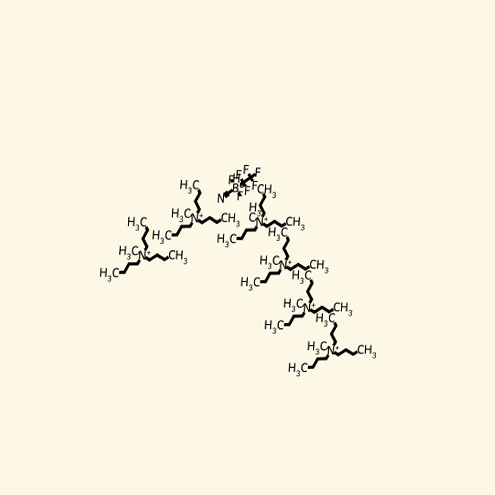 CCCC[N+](C)(CCCC)CCCC.CCCC[N+](C)(CCCC)CCCC.CCCC[N+](C)(CCCC)CCCC.CCCC[N+](C)(CCCC)CCCC.CCCC[N+](C)(CCCC)CCCC.CCCC[N+](C)(CCCC)CCCC.N#C[BH5-6](F)(F)C(F)(F)C(F)(F)F